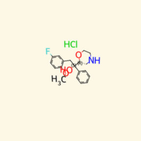 COc1ccc(F)cc1C[C@](O)(c1ccccc1)[C@H]1CNCCO1.Cl